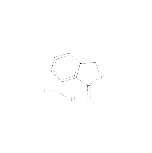 O=C(O)O.O=C1NCc2ccccc21